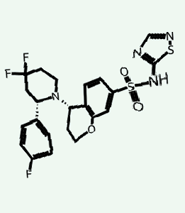 O=S(=O)(Nc1ncns1)c1ccc2c(c1)OCC[C@@H]2N1CCC(F)(F)C[C@H]1c1ccc(F)cc1